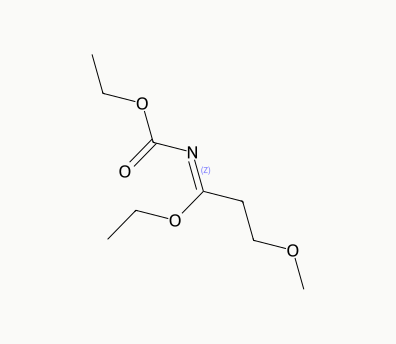 CCOC(=O)/N=C(/CCOC)OCC